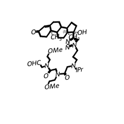 COCCN(CC=O)C(=O)CN(CCOC)C(=O)CN(CCCn1cc([C@]2(O)CCC3C4CCC5=CC(=O)CC[C@]5(C)C4CC[C@@]32C)nn1)C(C)C